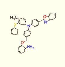 Cc1ccc(N(c2ccc(COc3ccccc3N)cc2)c2ccc(-c3nc4ccccc4o3)cc2)cc1Sc1ccccc1